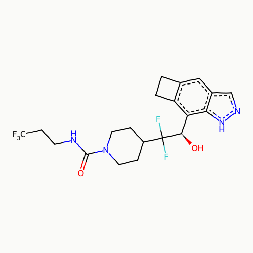 O=C(NCCC(F)(F)F)N1CCC(C(F)(F)[C@H](O)c2c3c(cc4cn[nH]c24)CC3)CC1